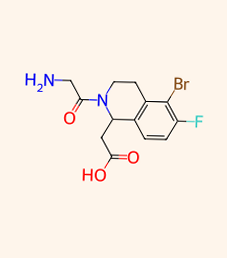 NCC(=O)N1CCc2c(ccc(F)c2Br)C1CC(=O)O